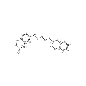 O=C1CCc2ccc(OCCCCN3CCc4ncncc4C3)cc2N1